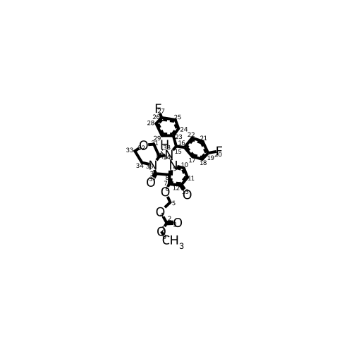 COC(=O)OCOc1c2n(ccc1=O)N(C(c1ccc(F)cc1)c1ccc(F)cc1)[C@@H]1COCCN1C2=O